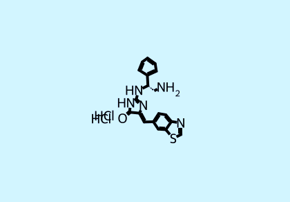 Cl.Cl.NC[C@H](NC1=N/C(=C\c2ccc3ncsc3c2)C(=O)N1)c1ccccc1